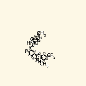 CN1C2C1C21Cc2cc(F)c(CCNS(=O)(=O)c3cn(C)cn3)cc2C1Cc1cccc(C(F)(F)F)c1